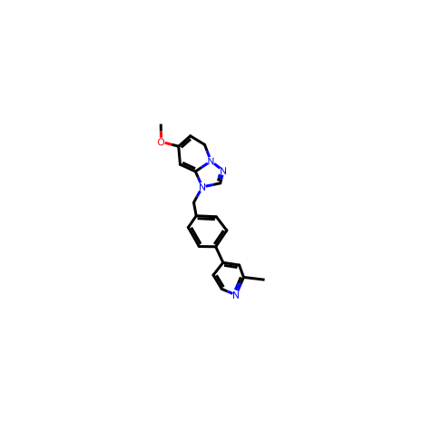 COC1=CCN2N=CN(Cc3ccc(-c4ccnc(C)c4)cc3)C2=C1